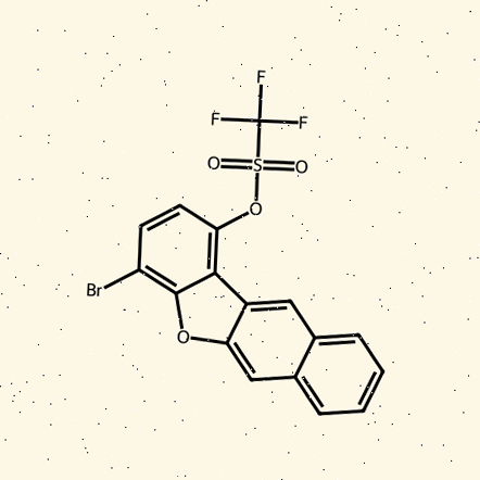 O=S(=O)(Oc1ccc(Br)c2oc3cc4ccccc4cc3c12)C(F)(F)F